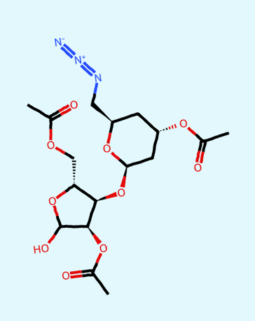 CC(=O)OC[C@H]1OC(O)[C@H](OC(C)=O)[C@@H]1O[C@@H]1C[C@@H](OC(C)=O)C[C@H](CN=[N+]=[N-])O1